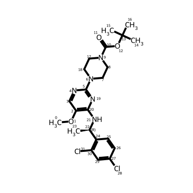 COc1cnc(N2CCN(C(=O)OC(C)(C)C)CC2)nc1N[C@H](C)c1ccc(Cl)cc1Cl